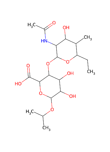 CCC1OC(OC2C(C(=O)O)OC(OC(C)C)C(O)C2O)C(NC(C)=O)C(O)C1C